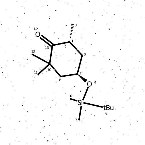 C[C@@H]1C[C@@H](O[Si](C)(C)C(C)(C)C)CC(C)(C)C1=O